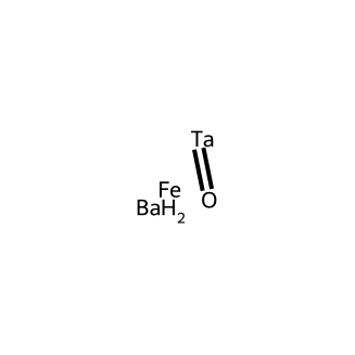 [BaH2].[Fe].[O]=[Ta]